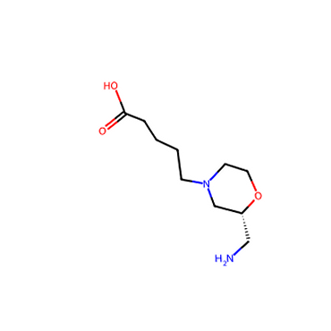 NC[C@@H]1CN(CCCCC(=O)O)CCO1